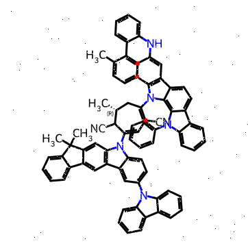 Cc1ccccc1-c1ccccc1NC1=Cc2c(n(C3=C(C#N)C=C(n4c5ccc(-n6c7ccccc7c7ccccc76)cc5c5cc6c(cc54)C(C)(C)c4ccccc4-6)C(C#N)[C@H](C)C3)c3c2ccc2c4ccccc4n(-c4ccccc4)c23)CC1